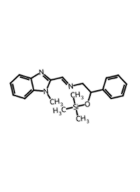 Cn1c(C=NCC(O[Si](C)(C)C)c2ccccc2)nc2ccccc21